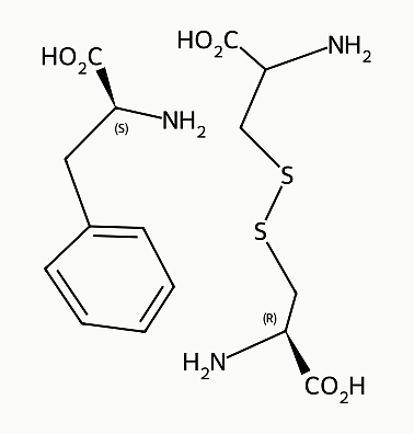 NC(CSSC[C@H](N)C(=O)O)C(=O)O.N[C@@H](Cc1ccccc1)C(=O)O